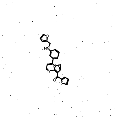 O=C(c1cccs1)c1cnn2c(-c3cccc(NCc4ccco4)c3)ccnc12